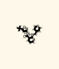 CC(C)(C)c1cc(NC(=O)c2cccnc2NCc2ccncc2)no1